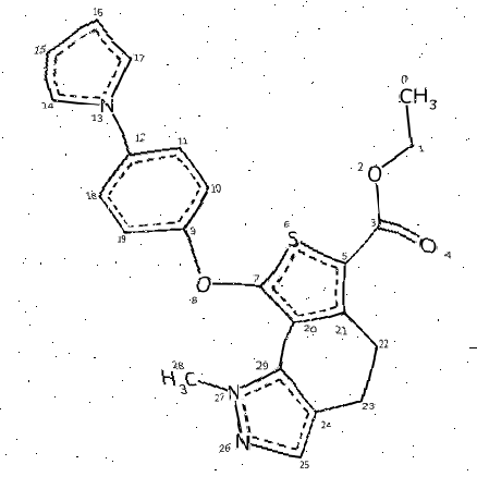 CCOC(=O)c1sc(Oc2ccc(-n3cccc3)cc2)c2c1CCc1cnn(C)c1-2